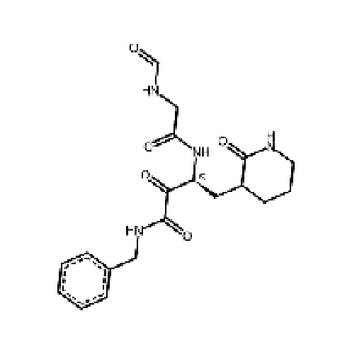 O=CNCC(=O)N[C@@H](CC1CCCNC1=O)C(=O)C(=O)NCc1ccccc1